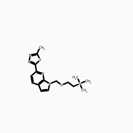 Cc1nnc(-c2ccc3ccn(COCC[Si](C)(C)C)c3n2)s1